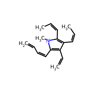 C=C/C=C\c1c(C=C)c(/C=C\C)c(/C=C\C)n1C